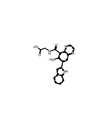 O=C(O)CNC(=O)c1c(O)c(-c2cc3ccccc3[nH]2)cc2nccnc12